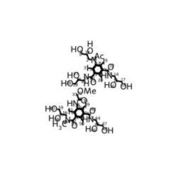 CC(=O)N(CC(O)CO)c1c(I)c(C(=O)NCC(O)CO)c(I)c(C(=O)NCC(O)CO)c1I.COCC(=O)Nc1c(I)c(C(=O)NCC(O)CO)c(I)c(C(=O)N(C)CC(O)CO)c1I